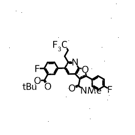 CNC(=O)c1c(-c2ccc(F)cc2)oc2nc(CCC(F)(F)F)c(-c3ccc(F)c(C(=O)OC(C)(C)C)c3)cc12